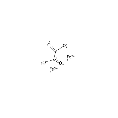 O=C([O-])C(=O)[O-].[Fe+2].[Fe+3]